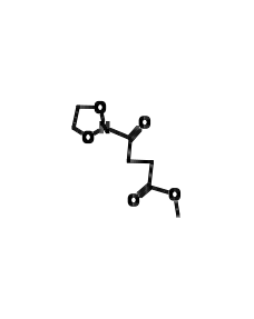 COC(=O)CCC(=O)N1OCCO1